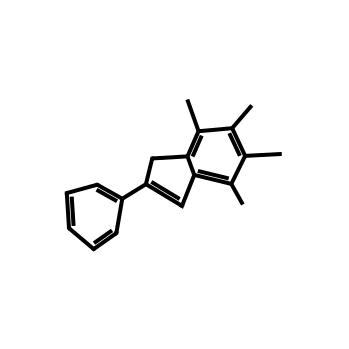 Cc1c(C)c(C)c2c(c1C)C=C(c1ccccc1)C2